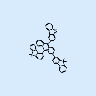 CC1(C)c2ccccc2-c2ccc(-c3ccc4c(-c5ccc6sc7ccccc7c6c5)c5ccccc5c(-c5cccc6c5-c5ccccc5C6(C)C)c4c3)cc21